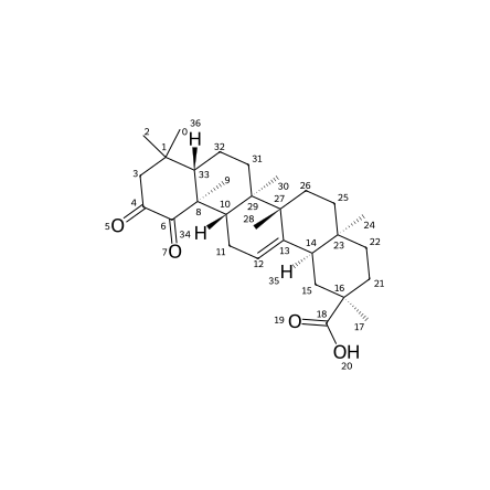 CC1(C)CC(=O)C(=O)[C@]2(C)[C@H]3CC=C4[C@@H]5C[C@](C)(C(=O)O)CC[C@]5(C)CC[C@@]4(C)[C@]3(C)CC[C@@H]12